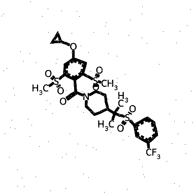 CC(C)(C1CCN(C(=O)c2c(S(C)(=O)=O)cc(OC3CC3)cc2S(C)(=O)=O)CC1)S(=O)(=O)c1cccc(C(F)(F)F)c1